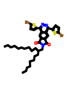 CCCCCCCCCCC(CCCCCCCC)CN1C(=O)c2cc3c(-c4ccc(Br)s4)nnc(-c4ccc(Br)s4)c3cc2C1=O